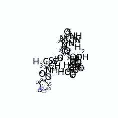 CC(C)(CNC(=O)OC1CC/C=C/CCC1)SSCOC1C[C@H](n2cnc3c(=O)[nH]c(N)nc32)O[C@@H]1COP(=O)(O)OP(=O)(O)OP(=O)(O)O